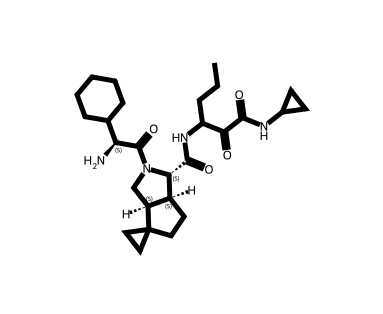 CCCC(NC(=O)[C@@H]1[C@H]2CCC3(CC3)[C@H]2CN1C(=O)[C@@H](N)C1CCCCC1)C(=O)C(=O)NC1CC1